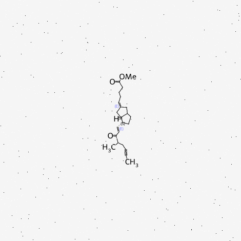 CC#CCC(C)C(=O)/C=C/[C@H]1CCC2C/C(=C\CCCC(=O)OC)C[C@@H]21